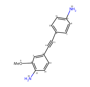 COc1cc(C#Cc2ccc(N)cc2)ccc1N